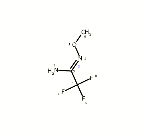 CO/N=C(\N)C(F)(F)F